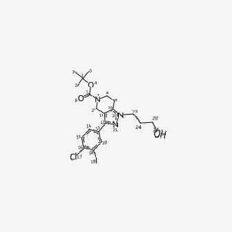 CC(C)(C)OC(=O)N1CCc2c(c(-c3ccc(Cl)c(I)c3)nn2CCCO)C1